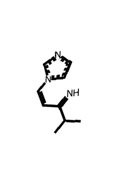 CC(C)C(=N)/C=C\n1ccnc1